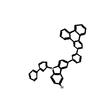 Brc1ccc2c(c1)c1cc(-c3cccc(-c4ccc5c6ccccc6c6ccccc6c5c4)c3)ccc1n2-c1cccc(-c2ccccc2)c1